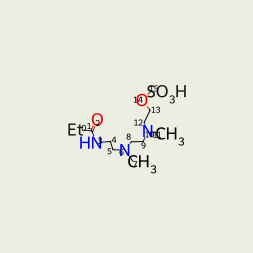 CCC(=O)NCCN(C)CCN(C)CCOS(=O)(=O)O